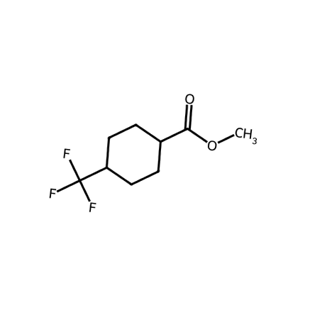 COC(=O)C1CCC(C(F)(F)F)CC1